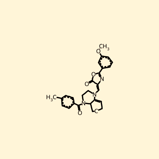 COc1cccc(C2=NC(=CN3CCN(C(=O)c4ccc(C)cc4)C4CCCC=C43)C(=O)O2)c1